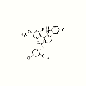 COc1ccc(C2C3=C(CCN2C(=O)OC2=CC=C(Cl)CC2C)C2C=C(Cl)C=CC2N3)c(F)c1